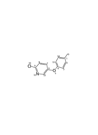 Cc1ccc(Oc2ccc(Cl)nc2)cc1